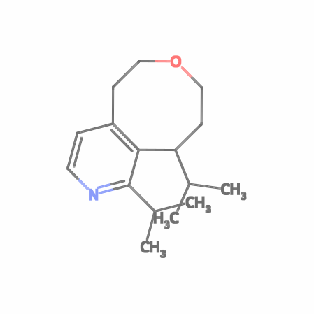 CC(C)c1nccc2c1C(C(C)C)CCOCC2